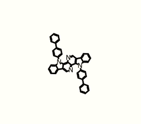 c1ccc(-c2ccc(-n3c4ccccc4c4cnc5c(ncc6c7ccccc7n(-c7ccc(-c8ccccc8)cc7)c65)c43)cc2)cc1